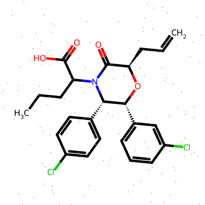 C=CC[C@H]1O[C@H](c2cccc(Cl)c2)[C@H](c2ccc(Cl)cc2)N(C(CCC)C(=O)O)C1=O